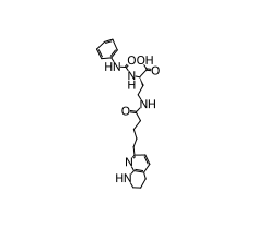 O=C(CCCCc1ccc2c(n1)NCCC2)NCC[C@@H](NC(=O)Nc1ccccc1)C(=O)O